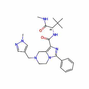 CNC(=O)[C@@H](NC(=O)c1nc(-c2ccccc2)n2c1CN(Cc1cnn(C)c1)CC2)C(C)(C)C